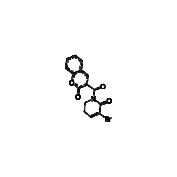 O=C1C(Br)=CCCN1C(=O)c1cc2ccccc2oc1=O